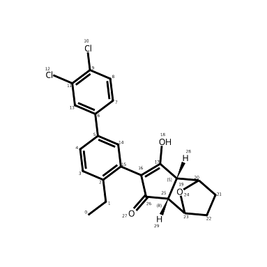 CCc1ccc(-c2ccc(Cl)c(Cl)c2)cc1C1=C(O)[C@@H]2C3CCC(O3)[C@@H]2C1=O